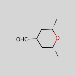 C[C@@H]1CC(C=O)C[C@H](C)O1